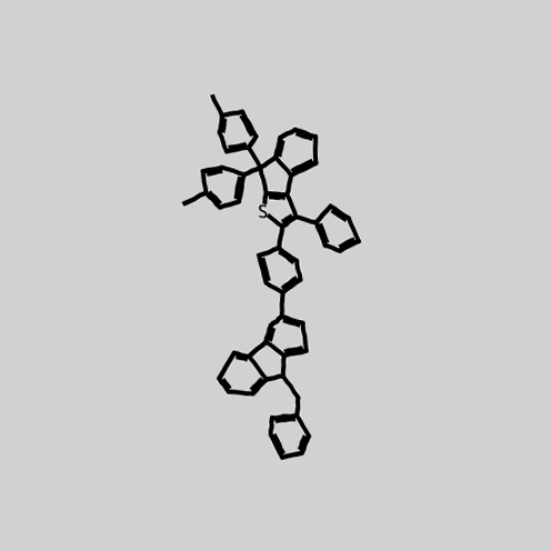 Cc1ccc(C2(c3ccc(C)cc3)c3ccccc3-c3c2sc(-c2ccc(-c4ccc5c(c4)-c4ccccc4C5Cc4ccccc4)cc2)c3-c2ccccc2)cc1